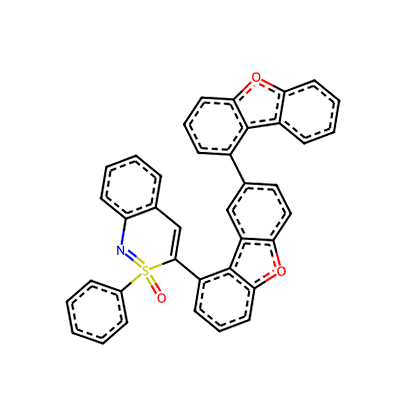 O=S1(c2ccccc2)=Nc2ccccc2C=C1c1cccc2oc3ccc(-c4cccc5oc6ccccc6c45)cc3c12